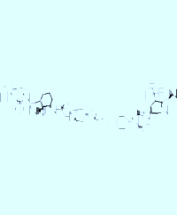 C[C@@H]1CC(OCCC[C@H]2CC[C@H](N3C(=S)N(c4cnc(C#N)c(C(F)(F)F)c4)C(=O)C3(C)C)CC2)C[C@H](C)N1CC(=O)Nc1cccc2c(N3CCC(=O)NC3=O)nn(C)c12